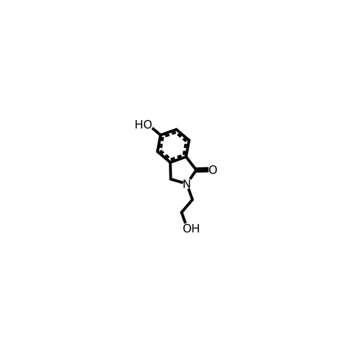 O=C1c2ccc(O)cc2CN1CCO